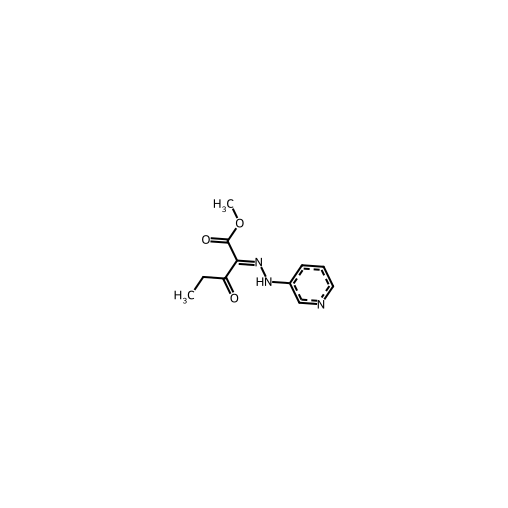 CCC(=O)/C(=N\Nc1cccnc1)C(=O)OC